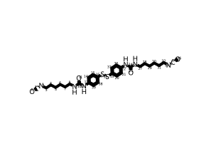 O=C=NCCCCCCNC(=O)Nc1ccc(SSc2ccc(NC(=O)NCCCCCCN=C=O)cc2)cc1